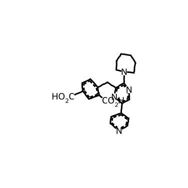 O=C(O)c1ccc(Cc2nc(-c3ccncc3)cnc2N2CCCCCC2)c(C(=O)O)c1